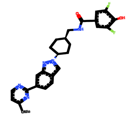 COc1ccnc(-c2ccc3cn([C@H]4CC[C@H](CNC(=O)c5cc(F)c(O)c(F)c5)CC4)nc3c2)n1